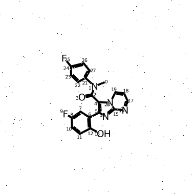 CN(C(=O)c1c(-c2cc(F)ccc2O)nc2ncccn12)c1ccc(F)cc1